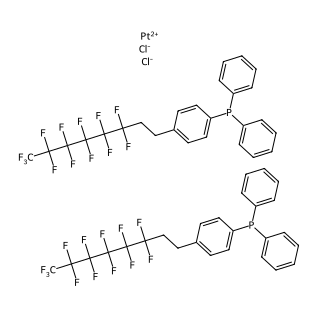 FC(F)(F)C(F)(F)C(F)(F)C(F)(F)C(F)(F)C(F)(F)CCc1ccc(P(c2ccccc2)c2ccccc2)cc1.FC(F)(F)C(F)(F)C(F)(F)C(F)(F)C(F)(F)C(F)(F)CCc1ccc(P(c2ccccc2)c2ccccc2)cc1.[Cl-].[Cl-].[Pt+2]